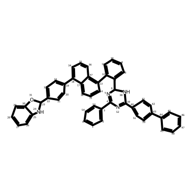 c1ccc(C2=NC(c3ccccc3-c3cccc4c(-c5ccc(C6Nc7ccccc7O6)cc5)cccc34)NC(c3ccc(-c4ccccc4)cc3)=N2)cc1